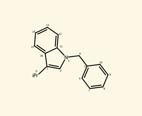 CC(C)c1cn(Cc2ccccc2)c2ccccc12